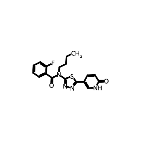 CCCCN(C(=O)c1ccccc1F)c1nnc(-c2ccc(=O)[nH]c2)s1